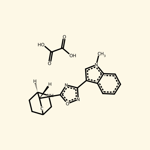 Cn1cc(-c2noc([C@@H]3CC4CC[C@H]3NC4)n2)c2ccccc21.O=C(O)C(=O)O